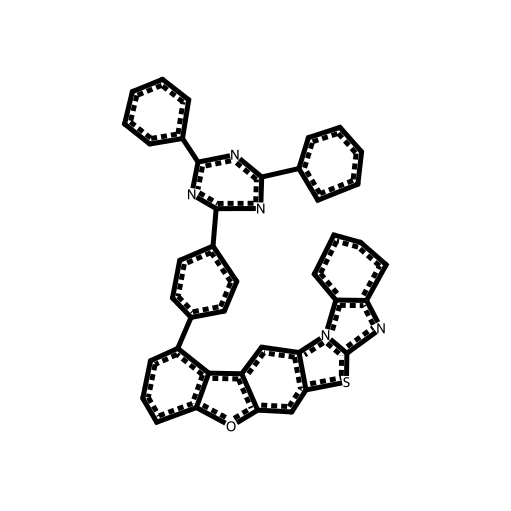 c1ccc(-c2nc(-c3ccccc3)nc(-c3ccc(-c4cccc5oc6cc7sc8nc9ccccc9n8c7cc6c45)cc3)n2)cc1